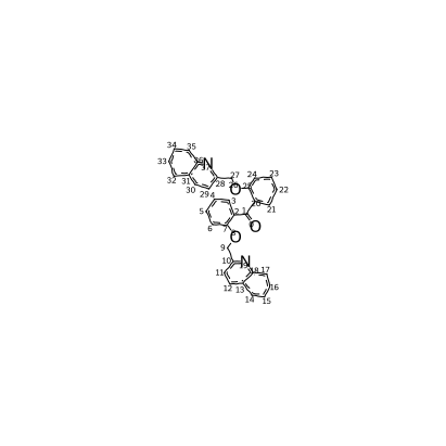 O=C(c1ccccc1OCc1ccc2ccccc2n1)c1ccccc1OCc1ccc2ccccc2n1